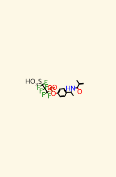 C=C(C)C(=O)NC(C)c1ccc(OS(=O)(=O)C(F)(F)C(F)(F)C(F)(F)S(=O)(=O)O)cc1